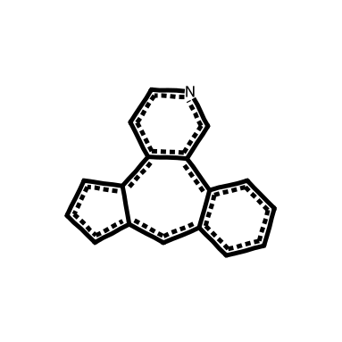 c1cc2cc3ccccc3c3cnccc3c-2c1